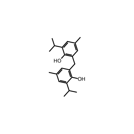 Cc1cc(Cc2cc(C)cc(C(C)C)c2O)c(O)c(C(C)C)c1